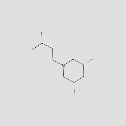 CC(C)CCN1C[C@H](C)C[C@H](C)C1